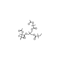 CCC(C)(C)C(=O)OCC(C)(COC(=O)C(C)(C)OC(C)=O)COC(=O)C(C)(OC(C)=O)C(F)(F)F